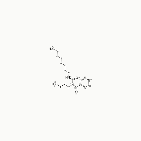 CCCCCCCCNC(=O)N(CCCC)C(=O)c1ccncc1